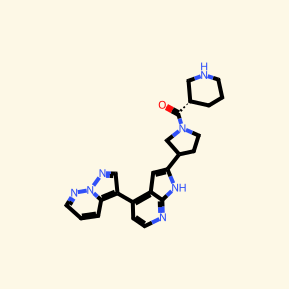 O=C([C@H]1CCCNC1)N1CCC(c2cc3c(-c4cnn5ncccc45)ccnc3[nH]2)C1